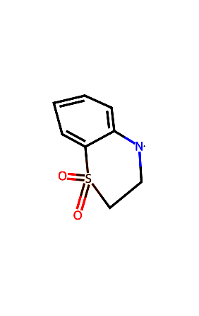 O=S1(=O)CC[N]c2ccccc21